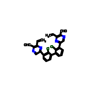 C=Cc1nc(-c2cccc(-c3cccc(-c4cnc(C=O)c(C=C)n4)c3Cl)c2Cl)cnc1C=O